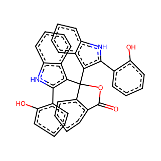 O=C1OC(c2c(-c3ccccc3O)[nH]c3ccccc23)(c2c(-c3ccccc3O)[nH]c3ccccc23)c2ccccc21